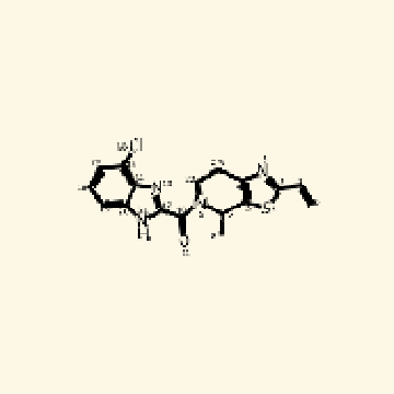 C=Cc1nc2c(s1)[C@@H](C)N(C(=O)c1nc3c(Cl)cccc3[nH]1)CC2